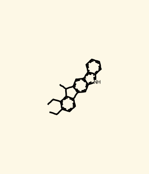 CCc1ccc2c(c1CC)C(C)c1cc3c(cc1-2)[nH]c1ccccc13